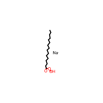 CCCCCCCCCCCCCCCC(=O)OO.[Na]